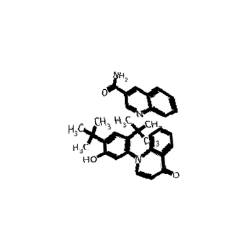 CC(C)(C)c1cc(C(C)(C)C)c(-n2ccc(=O)c3ccccc32)cc1O.NC(=O)c1cnc2ccccc2c1